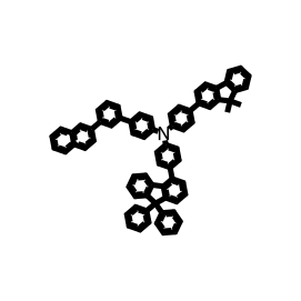 CC1(C)c2ccccc2-c2ccc(-c3ccc(N(c4ccc(-c5cccc(-c6ccc7ccccc7c6)c5)cc4)c4ccc(-c5cccc6c5-c5ccccc5C6(c5ccccc5)c5ccccc5)cc4)cc3)cc21